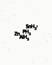 P.[AlH3].[SnH2].[Zn]